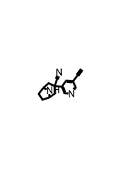 C#Cc1cncc(C2(C#N)CC3CCC(C2)N3)c1